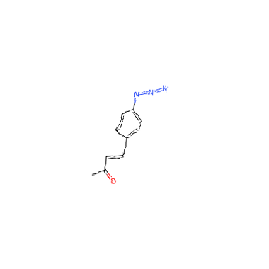 CC(=O)/C=C/c1ccc(N=[N+]=[N-])cc1